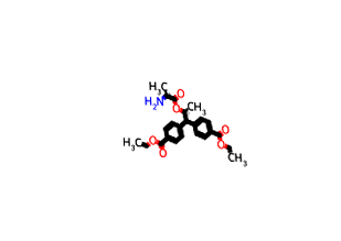 CCOC(=O)c1ccc(C(c2ccc(C(=O)OCC)cc2)[C@H](C)OC(=O)[C@H](C)N)cc1